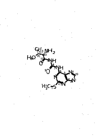 CSc1nc2c(c(NC(=O)NC(=O)[C@@H](N)[C@@H](C)O)n1)N=C[N]2